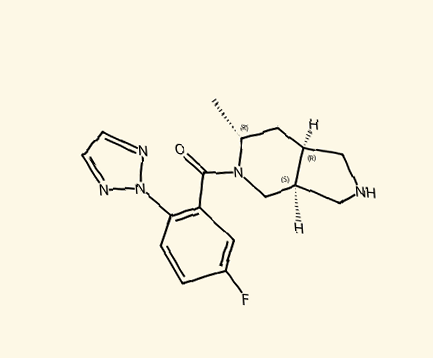 C[C@@H]1C[C@H]2CNC[C@H]2CN1C(=O)c1cc(F)ccc1-n1nccn1